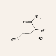 CCCCCCCC(CCC)C(N)=O.Cl